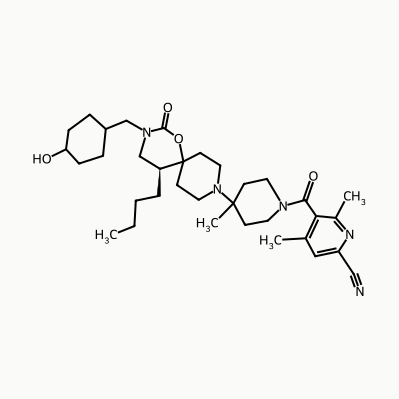 CCCC[C@H]1CN(CC2CCC(O)CC2)C(=O)OC12CCN(C1(C)CCN(C(=O)c3c(C)cc(C#N)nc3C)CC1)CC2